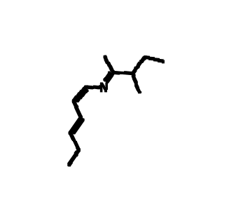 CC/C=C/C=C\N=C(/C)C(C)CC